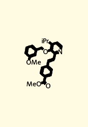 COC(=O)c1ccc(C=Cc2nccc(C(C)C)c2OCc2cccc(OC)c2)cc1